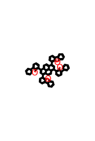 C1=CC2Oc3c(-c4cc(-c5cccc6c5oc5ccccc56)c5ccc6c(-c7cccc8c7oc7ccccc78)cc(-c7cccc8c7oc7ccccc78)c7ccc4c5c76)cccc3C2C=C1